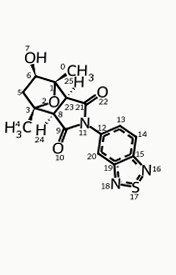 C[C@@]12O[C@@](C)(C[C@H]1O)[C@@H]1C(=O)N(c3ccc4nsnc4c3)C(=O)[C@@H]12